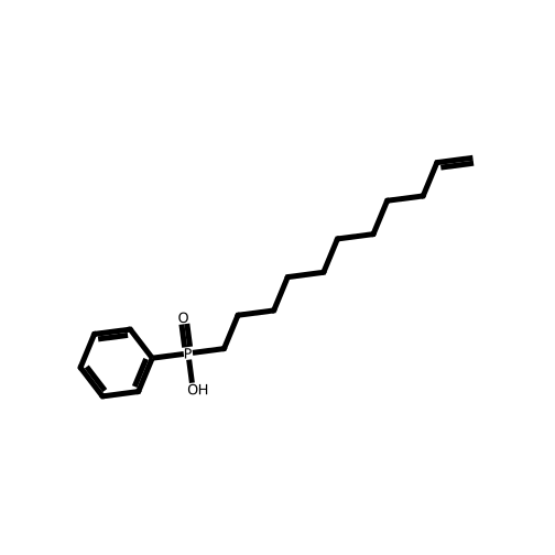 C=CCCCCCCCCCP(=O)(O)c1ccccc1